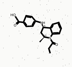 CCC(=O)N1c2ccccc2[C@H](Nc2ccc(C(=O)O)cc2)C[C@@H]1C